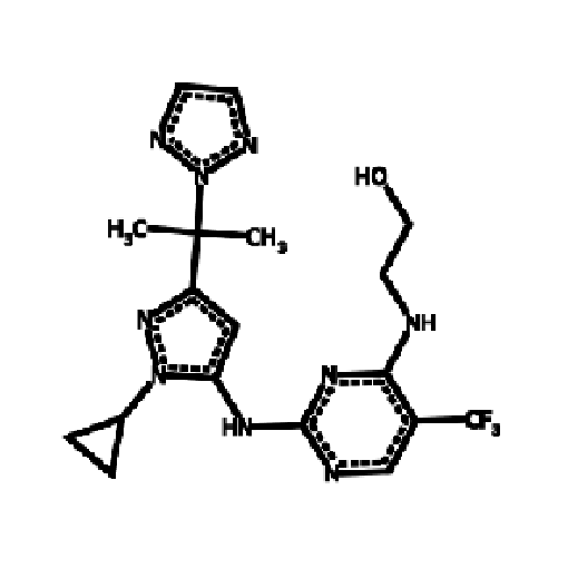 CC(C)(c1cc(Nc2ncc(C(F)(F)F)c(NCCO)n2)n(C2CC2)n1)n1nccn1